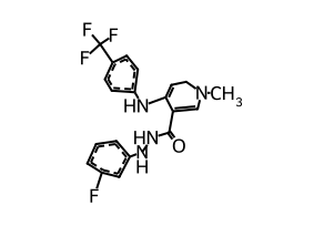 CN1C=C(C(=O)NNc2cccc(F)c2)C(Nc2ccc(C(F)(F)F)cc2)=CC1